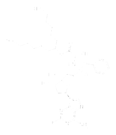 CCCCCCC(CCCCCC)OC(=O)[C@H](C)N[P@](=O)(OC[C@@]1(C)O[C@@H](n2cnc3c(N)nc(F)nc32)C[C@@H]1O)Oc1ccccc1